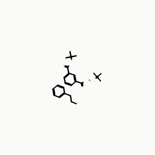 CC(C)(C)OOC(=O)c1cccc(C(=O)OC(C)(C)C)c1.CCCc1ccccc1